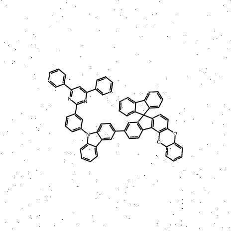 c1ccc(-c2cc(-c3ccccc3)nc(-c3cccc(-n4c5ccccc5c5cc(-c6ccc7c(c6)C6(c8ccccc8-c8ccccc86)c6ccc8c(c6-7)Oc6ccccc6O8)ccc54)c3)n2)cc1